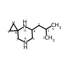 CC(C)CC1CNCC2(CC2)N1